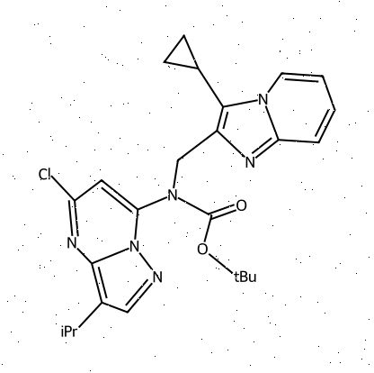 CC(C)c1cnn2c(N(Cc3nc4ccccn4c3C3CC3)C(=O)OC(C)(C)C)cc(Cl)nc12